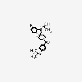 CC(C)O[C@@H]1CC2(CCN(C(=O)c3ccc(SC(C)C)cc3)CC2)Oc2ccc(F)cc21